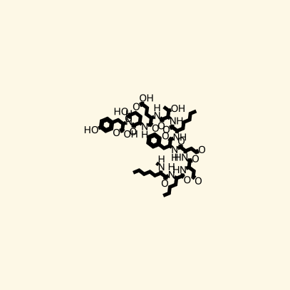 CCCCCC(NC)C(=O)NC(CCCC)C(=O)NC(CC=O)C(=O)NC(CC=O)C(=O)NC(Cc1ccccc1)C(=O)NC(CCCCC)C(=O)NC(C(=O)NC(CCC(=O)O)C(=O)NC(CCC(=O)O)C(=O)NC(Cc1ccc(O)cc1)C(=O)O)C(C)O